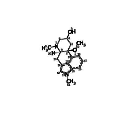 CO[C@]12CC(O)CN(C)[C@@H]1Cc1cn(C)c3cccc2c13